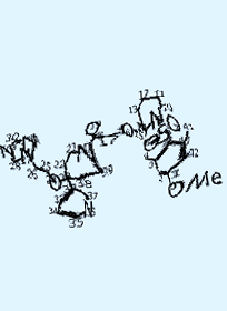 COc1cc(C)c(S(=O)(=O)N2CCCC[C@H]2COCC(=O)N2CCC(OCCn3cncn3)(c3cccnc3)CC2)c(C)c1